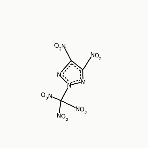 O=[N+]([O-])c1nn(C([N+](=O)[O-])([N+](=O)[O-])[N+](=O)[O-])nc1[N+](=O)[O-]